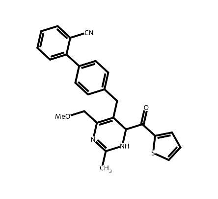 COCC1=C(Cc2ccc(-c3ccccc3C#N)cc2)C(C(=O)c2cccs2)NC(C)=N1